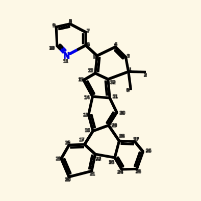 CC1(C)C=CC(c2ccccn2)=C2C=c3cc4c5ccccc5c5ccccc5c4cc3=C21